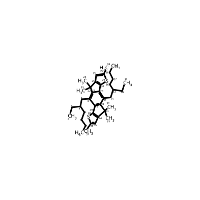 CCCCC(CC)Cc1c2c(c(CC(CC)CCCC)c3c1C(C)(C)c1cc(C)sc1-3)C(C)(C)c1cc(C)sc1-2